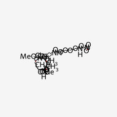 COc1cc2cc(c1Cl)N(C)C(=O)C[C@H](OC(=O)C1CCC(CNC(=O)CCOCCOCCOCCOCCNC(=O)CCN3C(=O)C=CC3=O)CC1)[C@@]1(C)C[C@H]1[C@H](C)[C@@H]1C[C@@](O)(NC(=O)O1)C(OC)/C=C/C=C(\C)C2